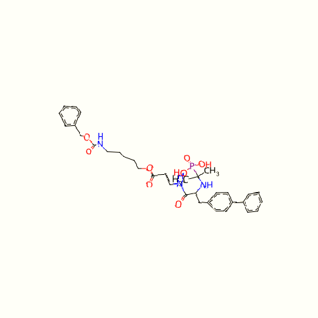 CC(C)(NC(Cc1ccc(-c2ccccc2)cc1)C(=O)NCCC(=O)OCCCCCNC(=O)OCc1ccccc1)P(=O)(O)O